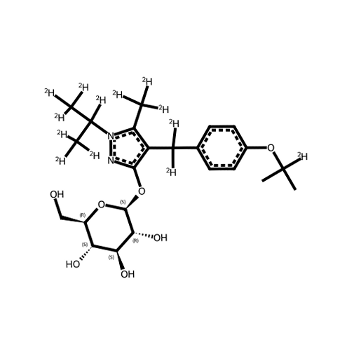 [2H]C(C)(C)Oc1ccc(C([2H])([2H])c2c(O[C@@H]3O[C@H](CO)[C@@H](O)[C@H](O)[C@H]3O)nn(C([2H])(C([2H])([2H])[2H])C([2H])([2H])[2H])c2C([2H])([2H])[2H])cc1